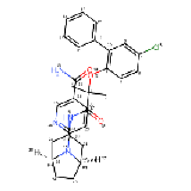 CC(C)(Oc1ccc(Cl)cc1-c1ccccc1)C(=O)N[C@H]1C[C@H]2CC[C@@H](C1)N2c1ccc(C(N)=O)cn1